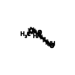 CC1CCCN(CCC(=O)NCCCCCCNC=O)C1